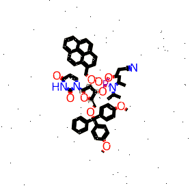 COc1ccc(C(OC[C@H]2O[C@@H](n3ccc(=O)[nH]c3=O)[C@H](OCc3ccc4ccc5cccc6ccc3c4c56)[C@@H]2OP(=O)(OCCC#N)N(C(C)C)C(C)C)(c2ccccc2)c2ccc(OC)cc2)cc1